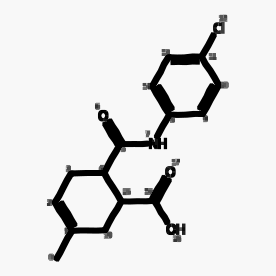 CC1=CCC(C(=O)Nc2ccc(Cl)cc2)C(C(=O)O)C1